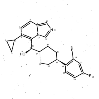 O[C@@H](c1c(C2CC2)ccc2cncn12)[C@H]1CC[C@H](c2ccc(F)cc2F)CC1